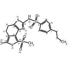 CCCc1ccc(S(=O)(=O)Nc2nc3c(s2)CCc2c(Cl)sc(S(C)(=O)=O)c2-3)cc1